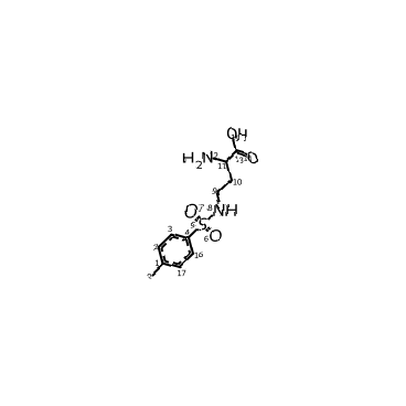 Cc1ccc(S(=O)(=O)NCCC(N)C(=O)O)cc1